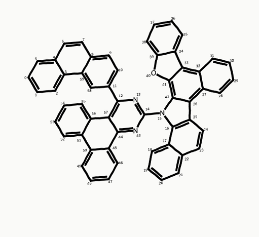 c1ccc2c(c1)ccc1ccc(-c3nc(-n4c5c6ccccc6ccc5c5c6ccccc6c6c7ccccc7oc6c54)nc4c5ccccc5c5ccccc5c34)cc12